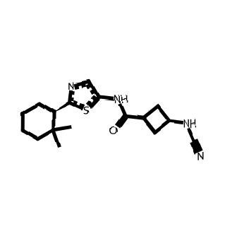 CC1(C)CCCC[C@H]1c1ncc(NC(=O)C2CC(NC#N)C2)s1